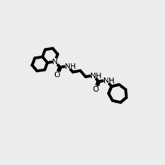 O=C(NCCCNC(=O)N1CCCC2CCCCC21)NC1CCCCCC1